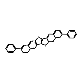 c1ccc(-c2ccc3cc4c(cc3c2)sc2c3cc5ccc(-c6ccccc6)cc5cc3sc42)cc1